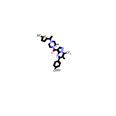 C=C(c1ccc(C#N)s1)N1CCN(C(=O)c2cnn3c(C(F)(F)F)c(C)c(-c4ccc(OC)cc4)nc23)[C@H](C)C1